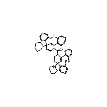 O=C(C1C=CC(c2ccccc2F)(N2CCCCC2)C=C1c1ccccc1F)C1C=CC(c2ccccc2F)(N2CCCCC2)C=C1c1ccccc1F